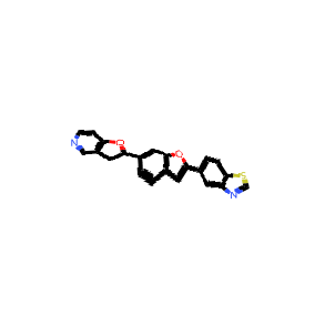 c1cc2c(cn1)CC(c1ccc3cc(-c4ccc5scnc5c4)oc3c1)O2